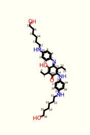 CCC1=C(O)/C(=N\c2ccc(NCCCCCCO)cc2)C(CC)=C(Nc2ccc(NCCCCCCO)cc2)C1=O